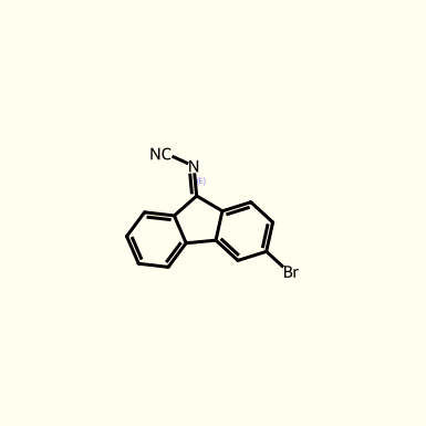 N#C/N=C1\c2ccccc2-c2cc(Br)ccc21